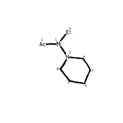 CCN(C(C)=O)N1CCCCC1